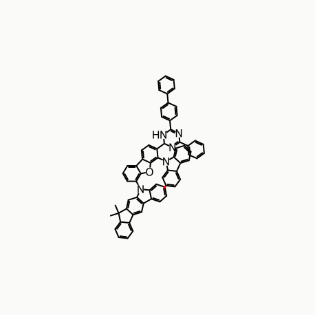 CC1(C)c2ccccc2-c2cc3c4ccccc4n(-c4cccc5c4oc4c(-n6c7ccccc7c7ccccc76)c(C6N=C(c7ccccc7)N=C(c7ccc(-c8ccccc8)cc7)N6)ccc45)c3cc21